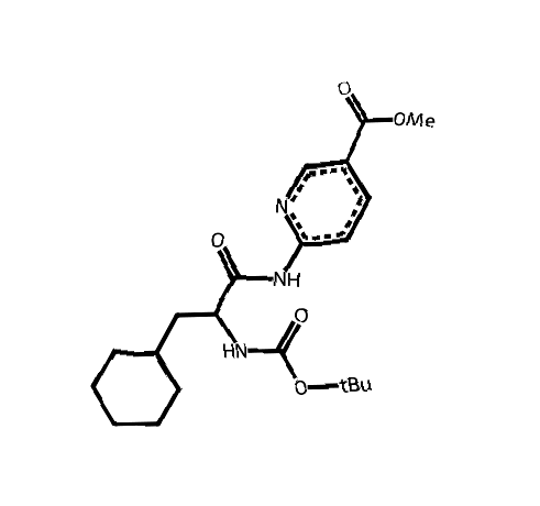 COC(=O)c1ccc(NC(=O)C(CC2CCCCC2)NC(=O)OC(C)(C)C)nc1